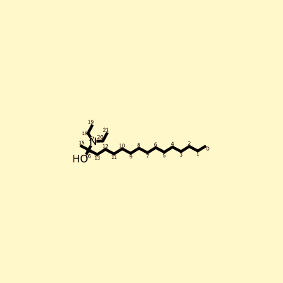 CCCCCCCCCCCCCCC(C)(O)N(CC)CC